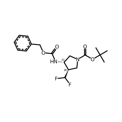 CC(C)(C)OC(=O)N1C[C@@H](NC(=O)OCc2ccccc2)[C@H](C(F)F)C1